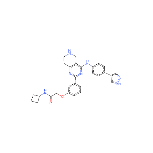 O=C(COc1cccc(-c2nc3c(c(Nc4ccc(-c5cn[nH]c5)cc4)n2)CNCC3)c1)NC1CCC1